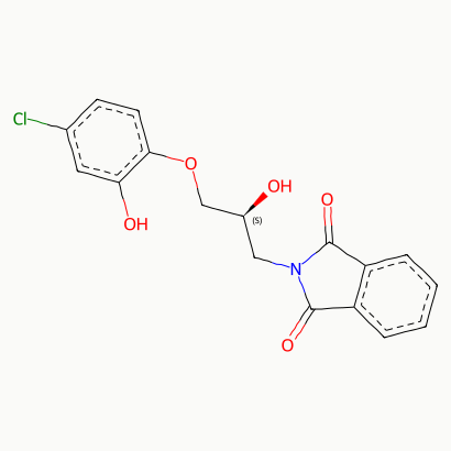 O=C1c2ccccc2C(=O)N1C[C@H](O)COc1ccc(Cl)cc1O